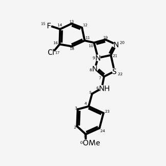 COc1ccc(CNc2nn3c(-c4ccc(F)c(Cl)c4)cnc3s2)cc1